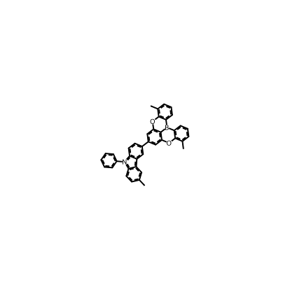 Cc1ccc2c(c1)c1cc(-c3cc4c5c(c3)Oc3c(C)cccc3B5c3cccc(C)c3O4)ccc1n2-c1ccccc1